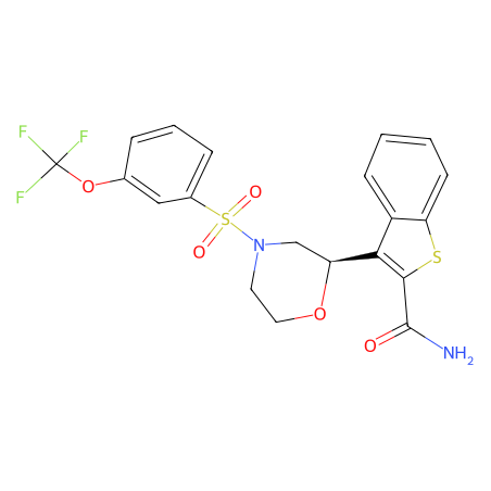 NC(=O)c1sc2ccccc2c1[C@@H]1CN(S(=O)(=O)c2cccc(OC(F)(F)F)c2)CCO1